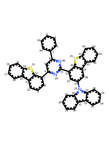 c1ccc(-c2cc(-c3cccc4c3sc3ccccc34)nc(-c3cc(-n4c5ccccc5c5ccccc54)cc4c3sc3ccccc34)n2)cc1